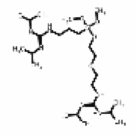 CO[Si](CCCNC(=NC(C)C)NC(C)C)(OC)OCCOCCNC(=NC(C)C)NC(C)C